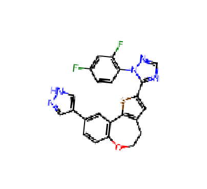 Fc1ccc(-n2ncnc2-c2cc3c(s2)-c2cc(-c4cn[nH]c4)ccc2OCC3)c(F)c1